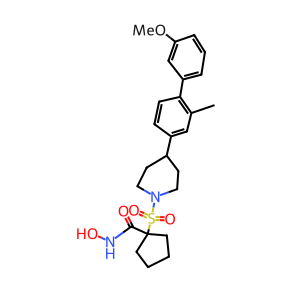 COc1cccc(-c2ccc(C3CCN(S(=O)(=O)C4(C(=O)NO)CCCC4)CC3)cc2C)c1